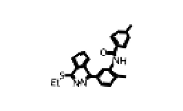 CCSc1nnc(-c2ccc(C)c(NC(=O)c3ccc(C)cc3)c2)c2ccccc12